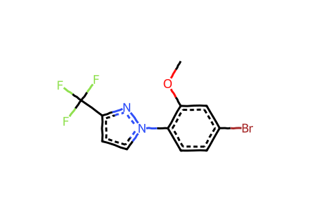 COc1cc(Br)ccc1-n1ccc(C(F)(F)F)n1